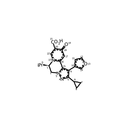 CC(C)[C@@H]1Cn2nc(C3CC3)c(-c3ccoc3)c2-c2cc(=O)c(C(=O)O)cn21